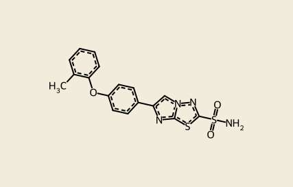 Cc1ccccc1Oc1ccc(-c2cn3nc(S(N)(=O)=O)sc3n2)cc1